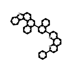 c1ccc(-c2ccc3ccc4ccc(-c5ccc(-c6cc7ccc8sc9ccccc9c8c7c7ccccc67)c6ccccc56)nc4c3n2)cc1